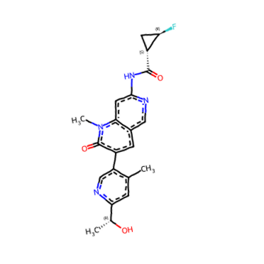 Cc1cc([C@@H](C)O)ncc1-c1cc2cnc(NC(=O)[C@@H]3C[C@H]3F)cc2n(C)c1=O